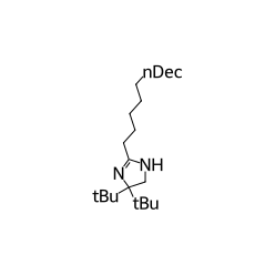 CCCCCCCCCCCCCCCC1=NC(C(C)(C)C)(C(C)(C)C)CN1